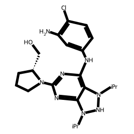 CC(C)N1NN(C(C)C)c2c(Nc3ccc(Cl)c(N)c3)nc(N3CCC[C@@H]3CO)nc21